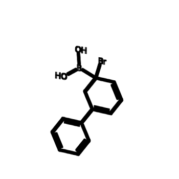 OB(O)C1(Br)C=CC=C(c2ccccc2)C1